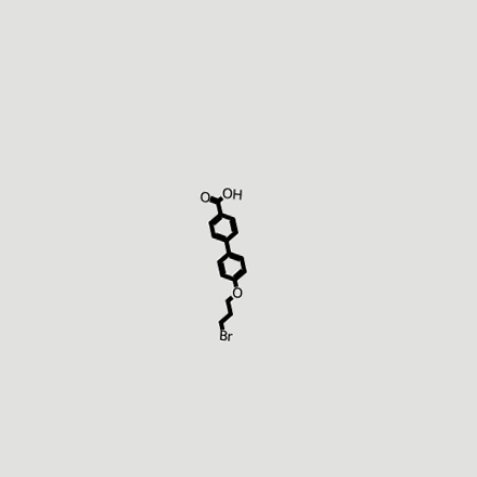 O=C(O)c1ccc(-c2ccc(OCCCBr)cc2)cc1